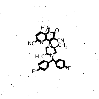 CCc1ccc(C(c2ccc(F)cc2)N2C[C@H](C)N(c3c(C#N)c(=O)n(C)c4ccc(C#N)nc34)C[C@H]2C)cc1